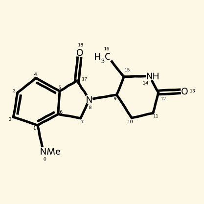 CNc1cccc2c1CN(C1CCC(=O)NC1C)C2=O